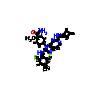 CC1(C(N)=O)CCC(n2c(Nc3c(F)cc(C#N)cc3F)nc3cnc(NC4CCC4)nc32)CC1